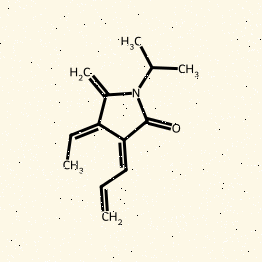 C=C/C=C1/C(=O)N(C(C)C)C(=C)/C1=C/C